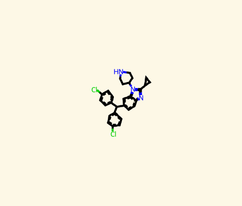 Clc1ccc(C(c2ccc(Cl)cc2)c2ccc3nc(C4CC4)n(C4CCNCC4)c3c2)cc1